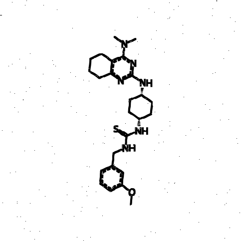 COc1cccc(CNC(=S)N[C@H]2CC[C@@H](Nc3nc4c(c(N(C)C)n3)CCCC4)CC2)c1